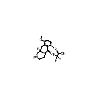 COc1ccc(C)c2c1C[C@@H]1CNCCN1C2=O.O=C(O)C(F)(F)F